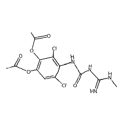 CNC(=N)NC(=O)Nc1c(Cl)cc(OC(C)=O)c(OC(C)=O)c1Cl